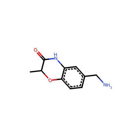 CC1Oc2ccc(CN)cc2NC1=O